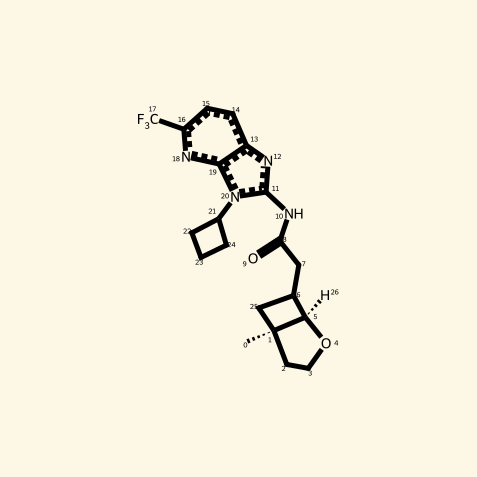 C[C@@]12CCO[C@@H]1C(CC(=O)Nc1nc3ccc(C(F)(F)F)nc3n1C1CCC1)C2